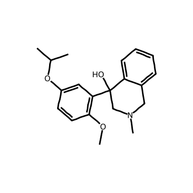 COc1ccc(OC(C)C)cc1C1(O)CN(C)Cc2ccccc21